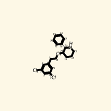 Clc1cc(Cl)cc(CCOC2CCCN[C@H]2c2ccccc2)c1